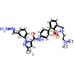 CCN(CC)CCN1Cc2cccc(-c3ccc(NC(=O)c4cc(C(F)(F)F)nn4-c4cccc(C=NN)c4)cc3)c2S1(=O)=O